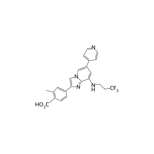 Cc1cc(-c2cn3cc(-c4ccncc4)cc(NCCC(F)(F)F)c3n2)ccc1C(=O)O